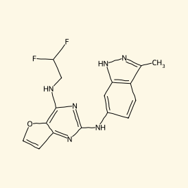 Cc1n[nH]c2cc(Nc3nc(NCC(F)F)c4occc4n3)ccc12